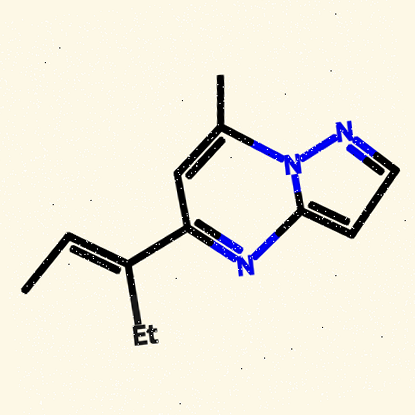 C/C=C(\CC)c1cc(C)n2nccc2n1